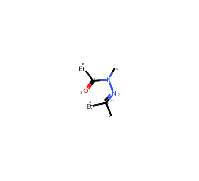 CCC(=O)N(C)/N=C(/C)CC